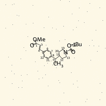 COC(=O)C=Cc1ccc(C(C)C2CCN(C(=O)OC(C)(C)C)CC2)cc1